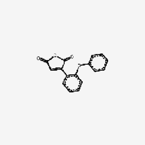 O=C1C=C(c2ccccc2Oc2ccccc2)C(=O)O1